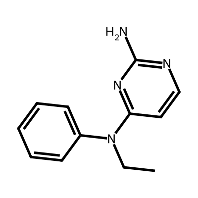 CCN(c1ccccc1)c1ccnc(N)n1